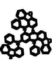 c1ccc(N2c3cc(N(c4ccccc4)c4cccc5sc6ccccc6c45)cc4c3B(c3ccc5oc6ccccc6c5c32)c2ccc3oc5ccccc5c3c2N4c2ccccc2)cc1